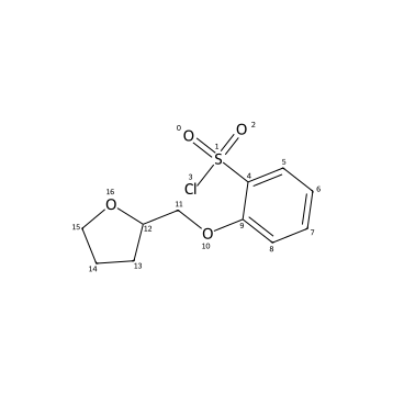 O=S(=O)(Cl)c1ccccc1OCC1CCCO1